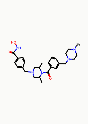 CC(C)N1CCN(Cc2cccc(C(=O)N3C(C)CN(Cc4ccc(C(=O)NO)cc4)CC3C)c2)CC1